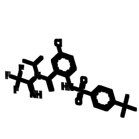 C=C(c1cc(Cl)ccc1NS(=O)(=O)c1ccc(C(C)(C)C)cc1)N(C(=N)C(F)(F)F)C(C)C